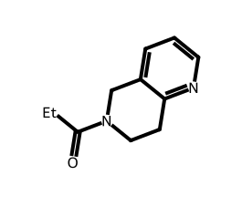 CCC(=O)N1CCc2ncccc2C1